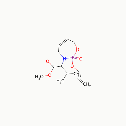 C=CCOP1(=O)OCC=CCN1C(C(=O)OC)C(C)C